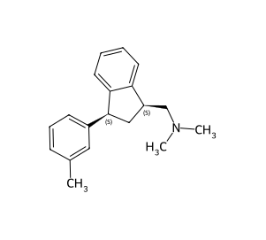 Cc1cccc([C@@H]2C[C@H](CN(C)C)c3ccccc32)c1